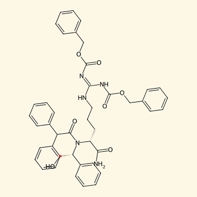 NC(=O)[C@@H](CCCNC(=NC(=O)OCc1ccccc1)NC(=O)OCc1ccccc1)N(C(=O)C(c1ccccc1)c1ccccc1)[C@@H](CO)c1ccccc1